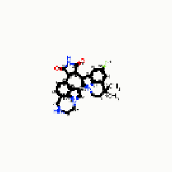 CC1(C)CCn2cc(C3=C(c4ccc5c6c4ccn6CCNC5)C(=O)NC3=O)c3cc(F)cc1c32